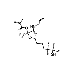 C=CCNC(=O)C(OCCCCC(F)(F)C(F)(F)S)(OC(=O)C(=C)C)C(F)(F)F